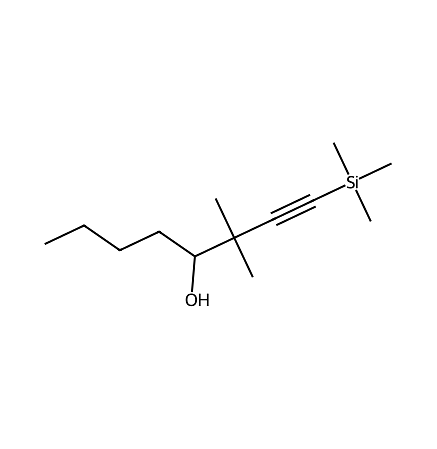 CCCCC(O)C(C)(C)C#C[Si](C)(C)C